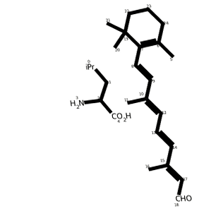 CC(C)CC(N)C(=O)O.CC1=C(/C=C/C(C)=C/C=C/C(C)=C/C=O)C(C)(C)CCC1